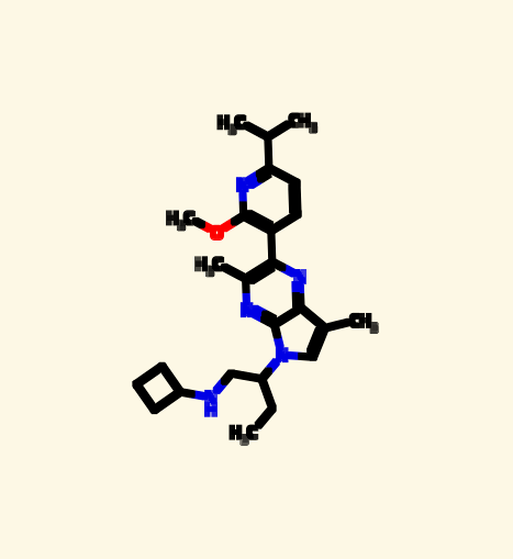 CCC(CNC1CCC1)n1cc(C)c2nc(-c3ccc(C(C)C)nc3OC)c(C)nc21